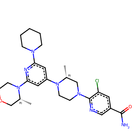 C[C@@H]1CN(c2ncc(C(N)=O)cc2Cl)CCN1c1cc(N2CCCCC2)nc(N2CCOC[C@H]2C)c1